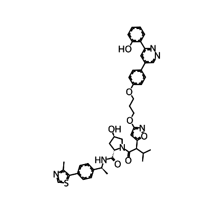 Cc1ncsc1-c1ccc([C@H](C)NC(=O)[C@@H]2C[C@@H](O)CN2C(=O)C(c2cc(OCCCOc3ccc(-c4cnnc(-c5ccccc5O)c4)cc3)no2)C(C)C)cc1